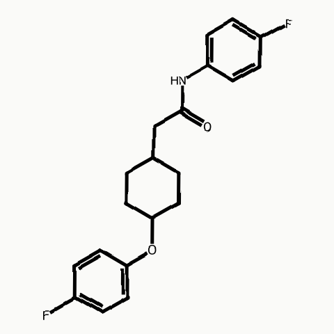 O=C(CC1CCC(Oc2ccc(F)cc2)CC1)Nc1ccc(F)cc1